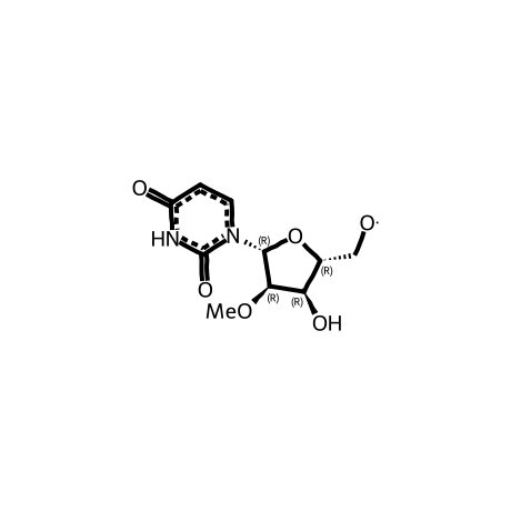 CO[C@@H]1[C@H](O)[C@@H](C[O])O[C@H]1n1ccc(=O)[nH]c1=O